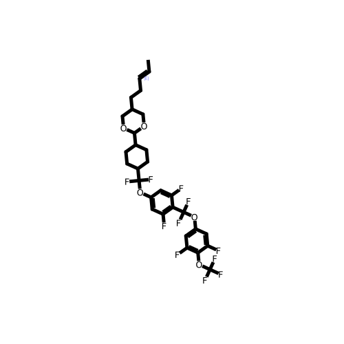 C/C=C/CCC1COC(C2CCC(C(F)(F)Oc3cc(F)c(C(F)(F)Oc4cc(F)c(OC(F)(F)F)c(F)c4)c(F)c3)CC2)OC1